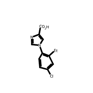 CCc1cc(Cl)ccc1-n1cnc(C(=O)O)c1